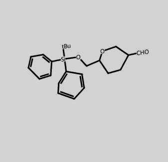 CC(C)(C)[Si](OCC1CCC(C=O)CO1)(c1ccccc1)c1ccccc1